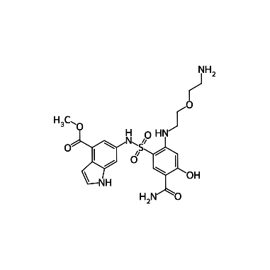 COC(=O)c1cc(NS(=O)(=O)c2cc(C(N)=O)c(O)cc2NCCOCCN)cc2[nH]ccc12